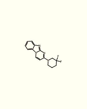 FC1(F)CCCN(c2ccn3c(n2)nc2ccccc23)C1